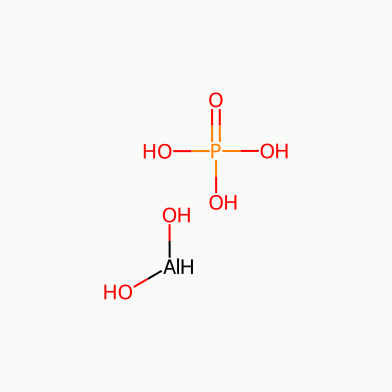 O=P(O)(O)O.[OH][AlH][OH]